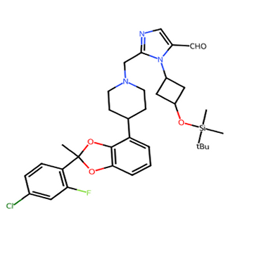 CC1(c2ccc(Cl)cc2F)Oc2cccc(C3CCN(Cc4ncc(C=O)n4C4CC(O[Si](C)(C)C(C)(C)C)C4)CC3)c2O1